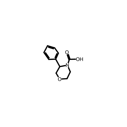 O=C(O)N1CCOCC1c1ccccc1